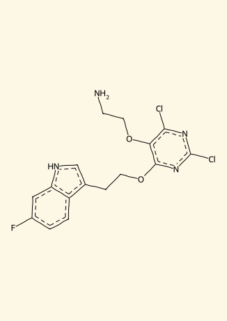 NCCOc1c(Cl)nc(Cl)nc1OCCc1c[nH]c2cc(F)ccc12